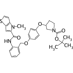 Cn1c(C(=O)Nc2ccccc2COc2ccc(OC3CCN(C(=O)OC(C)(C)C)C3)cc2)cc2sccc21